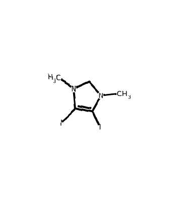 CN1CN(C)C(I)=C1I